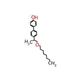 CCCCCCCCOCC(C)c1ccc(-c2ccc(O)cc2)cc1